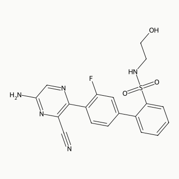 N#Cc1nc(N)cnc1-c1ccc(-c2ccccc2S(=O)(=O)NCCO)cc1F